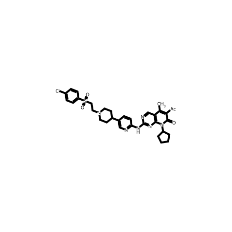 CC(=O)c1c(C)c2cnc(Nc3ccc(C4CCN(CCS(=O)(=O)c5ccc(Cl)cc5)CC4)cn3)nc2n(C2CCCC2)c1=O